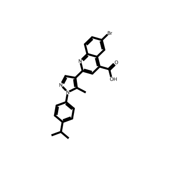 Cc1c(-c2cc(C(=O)O)c3cc(Br)ccc3n2)cnn1-c1ccc(C(C)C)cc1